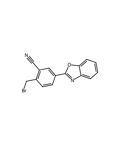 N#Cc1cc(-c2nc3ccccc3o2)ccc1CBr